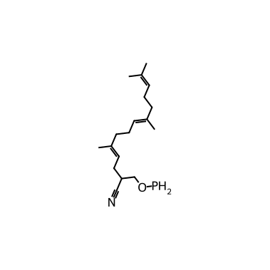 CC(C)=CCCC(C)=CCCC(C)=CCC(C#N)COP